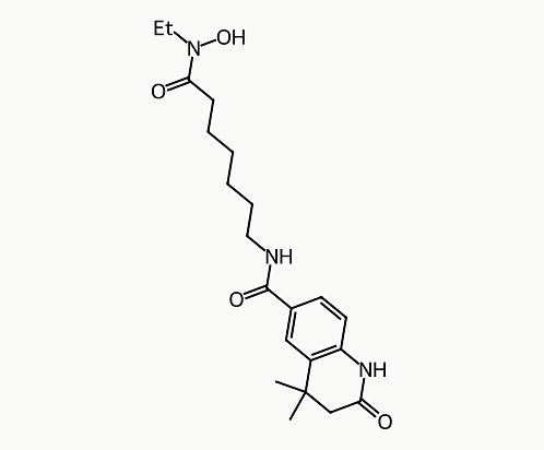 CCN(O)C(=O)CCCCCCNC(=O)c1ccc2c(c1)C(C)(C)CC(=O)N2